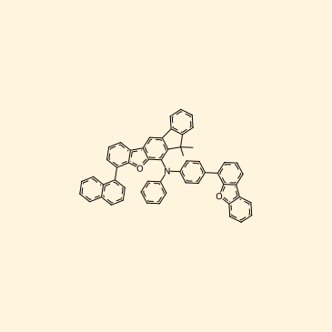 CC1(C)c2ccccc2-c2cc3c(oc4c(-c5cccc6ccccc56)cccc43)c(N(c3ccccc3)c3ccc(-c4cccc5c4oc4ccccc45)cc3)c21